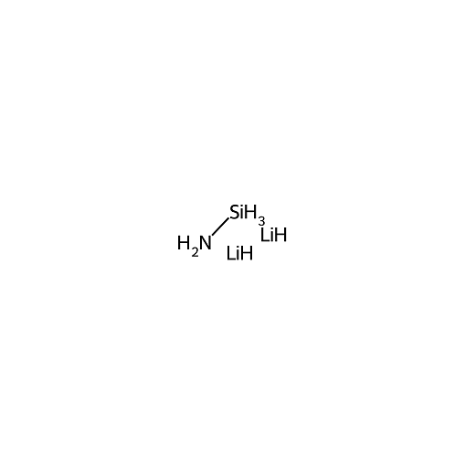 N[SiH3].[LiH].[LiH]